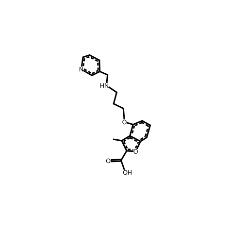 Cc1c(C(=O)O)oc2cccc(OCCCNCc3cccnc3)c12